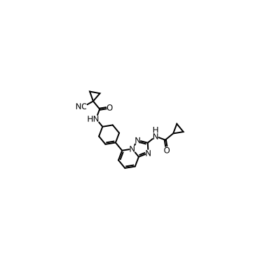 N#CC1(C(=O)NC2CC=C(c3cccc4nc(NC(=O)C5CC5)nn34)CC2)CC1